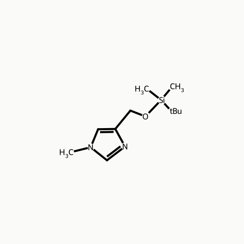 Cn1cnc(CO[Si](C)(C)C(C)(C)C)c1